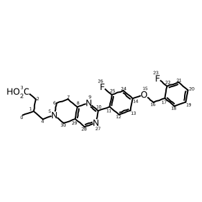 CC(CC(=O)O)CN1CCc2nc(-c3ccc(OCc4ccccc4F)cc3F)ncc2C1